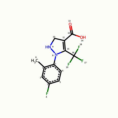 Cc1cc(F)ccc1N1NCC(C(=O)O)=C1C(F)(F)F